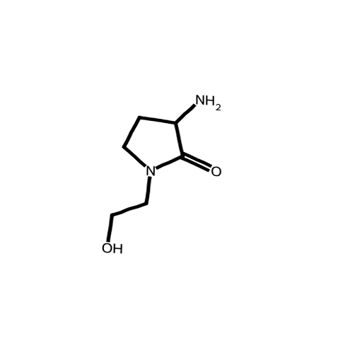 NC1CCN(CCO)C1=O